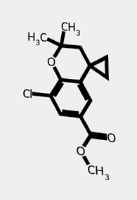 COC(=O)c1cc(Cl)c2c(c1)C1(CC1)CC(C)(C)O2